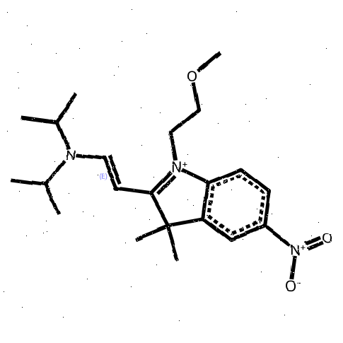 COCC[N+]1=C(/C=C/N(C(C)C)C(C)C)C(C)(C)c2cc([N+](=O)[O-])ccc21